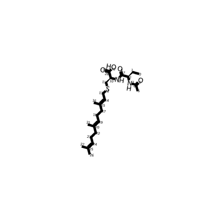 CC[C@@H](NC(C)=O)C(=O)N[C@@H](CSC/C=C(\C)CC/C=C(\C)CCC=C(C)C)C(=O)O